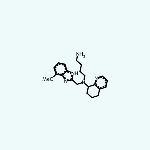 COc1cccc2[nH]c(CN(CCCCN)C3CCCc4cccnc43)nc12